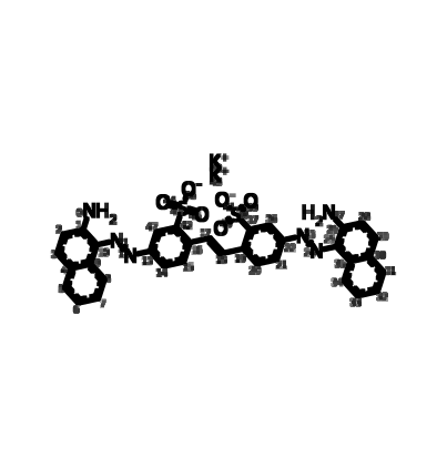 Nc1ccc2ccccc2c1N=Nc1ccc(C=Cc2ccc(N=Nc3c(N)ccc4ccccc34)cc2S(=O)(=O)[O-])c(S(=O)(=O)[O-])c1.[K+].[K+]